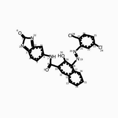 O=C1N=c2ccc(NC(=O)c3cc4ccccc4c(N=Nc4cc(Cl)ccc4Cl)c3O)cc2=N1